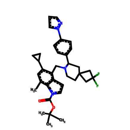 Cc1cc(C2CC2)c(CN2CCC3(CC2c2ccc(-n4cccn4)cc2)CC(F)(F)C3)c2ccn(C(=O)OC(C)(C)C)c12